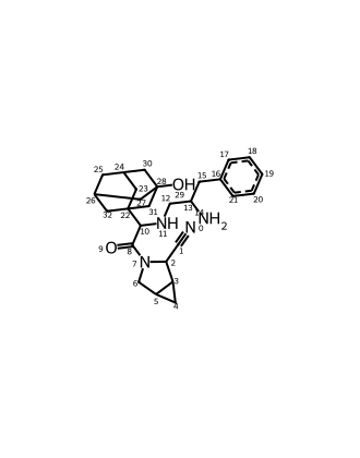 N#CC1C2CC2CN1C(=O)C(NCC(N)Cc1ccccc1)C12CC3CC(CC(O)(C3)C1)C2